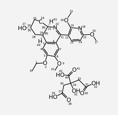 CCOc1cc2c(cc1OC)C(c1ccc(OC)nc1OC)=N[C@@H]1CC[C@@H](O)C[C@H]21.O=C(O)CC(O)(CC(=O)O)C(=O)O